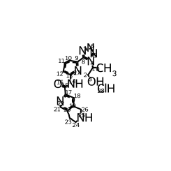 CC(CO)n1nnnc1-c1cccc(NC(=O)c2cc3c(cn2)CCNC3)n1.Cl